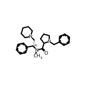 CN(C(=O)C1CCCN1Cc1ccccc1)[C@@H](CN1CCCCC1)c1ccccc1